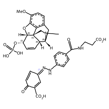 COc1ccc2c3c1O[C@H]1[C@@H](OP(=O)(O)O)C=C[C@H]4[C@@H](C2)N(C)CC[C@@]341.O=C(O)CCNC(=O)c1ccc(N/N=C2/C=CC(=O)C(C(=O)O)=C2)cc1